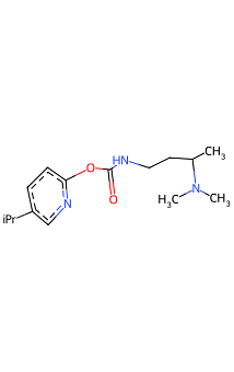 CC(C)c1ccc(OC(=O)NCCC(C)N(C)C)nc1